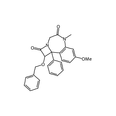 COc1ccc2c(c1)N(C)C(=O)CN1C(=O)C(OCc3ccccc3)C21c1ccccc1